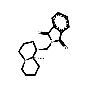 O=C1c2ccccc2C(=O)N1C[C@@H]1CCCN2CCCC[C@H]12